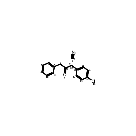 N#C[C@@H](C(=O)Cc1ccccc1)c1ccc(Cl)cc1